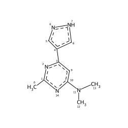 Cc1nc(-c2cn[nH]c2)cc(N(C)C)n1